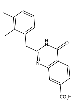 Cc1cccc(Cc2nc3cc(C(=O)O)ccc3c(=O)[nH]2)c1C